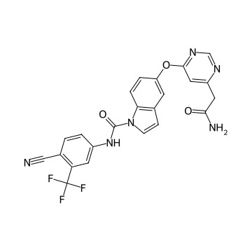 N#Cc1ccc(NC(=O)n2ccc3cc(Oc4cc(CC(N)=O)ncn4)ccc32)cc1C(F)(F)F